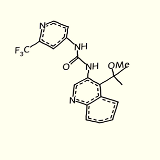 COC(C)(C)c1c(NC(=O)Nc2ccnc(C(F)(F)F)c2)cnc2ccccc12